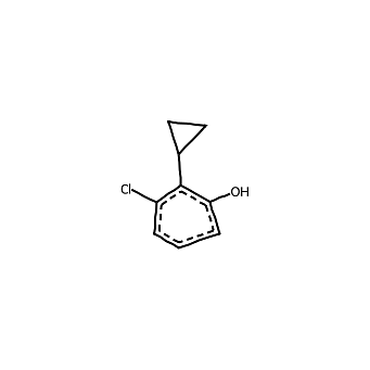 Oc1cccc(Cl)c1C1CC1